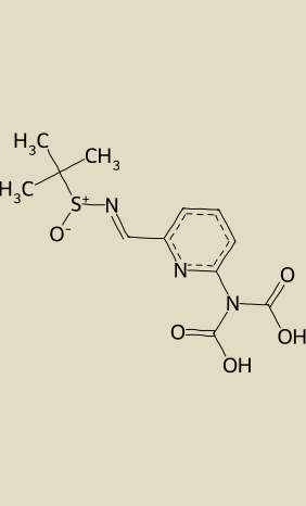 CC(C)(C)[S+]([O-])/N=C/c1cccc(N(C(=O)O)C(=O)O)n1